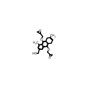 CC1=CCc2c(c(OCC3CO3)c3c(C)cc(CO)cc3c2OCC2CO2)C1